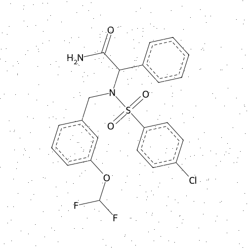 NC(=O)C(c1ccccc1)N(Cc1cccc(OC(F)F)c1)S(=O)(=O)c1ccc(Cl)cc1